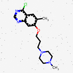 Cc1cc2c(Cl)ncnc2cc1OCCCN1CCN(C)CC1